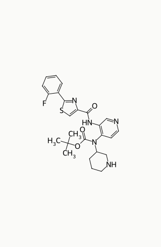 CC(C)(C)OC(=O)N(c1ccncc1NC(=O)c1csc(-c2ccccc2F)n1)C1CCCNC1